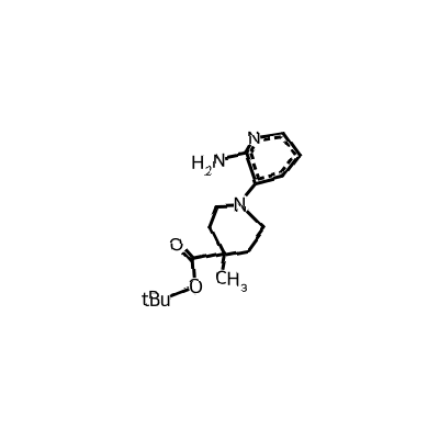 CC(C)(C)OC(=O)C1(C)CCN(c2cccnc2N)CC1